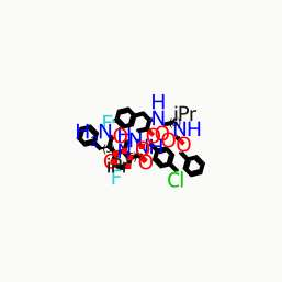 CC(C)[C@H](NC(=O)OCc1ccccc1)C(=O)NC(Cc1ccc(F)cc1)C(CN(Cc1ccc(F)cc1)NC(=O)[C@@H](NC(=O)[C@@H](Cc1ccccc1)C(N)=O)C(C)C)OC(=O)c1ccc(CCl)cc1